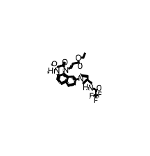 CCOC(=O)CCn1c(=O)c(=O)[nH]c2ccc3ccc(-n4ccc(CNC(=O)C(F)(F)F)c4)cc3c21